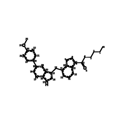 CCCCCC(=O)n1ccc2c(Cc3c[nH]c4ncc(-c5cnc(OC)nc5)cc34)cccc21